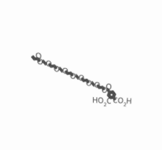 C=CC(=O)OCCOCCOCCOCCOCCOCCOCCOCCOC(=O)c1ccc(C(=O)O)c(C(=O)O)c1